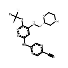 N#Cc1cnc(Nc2cc(NC[C@H]3CNCCO3)c(OC(F)(F)F)nn2)cn1